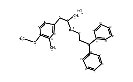 COc1ccc(CC(C)NCCC(c2ccccc2)c2ccccc2)cc1C.Cl